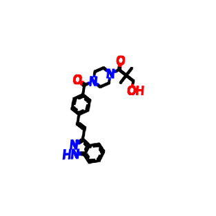 CC(C)(CO)C(=O)N1CCN(C(=O)c2ccc(C=Cc3n[nH]c4ccccc34)cc2)CC1